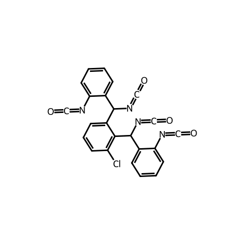 O=C=Nc1ccccc1C(N=C=O)c1cccc(Cl)c1C(N=C=O)c1ccccc1N=C=O